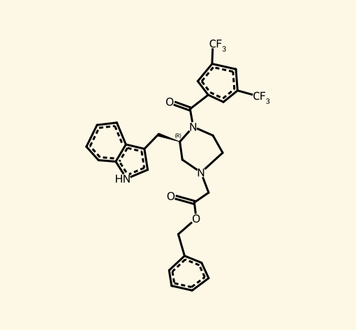 O=C(CN1CCN(C(=O)c2cc(C(F)(F)F)cc(C(F)(F)F)c2)[C@H](Cc2c[nH]c3ccccc23)C1)OCc1ccccc1